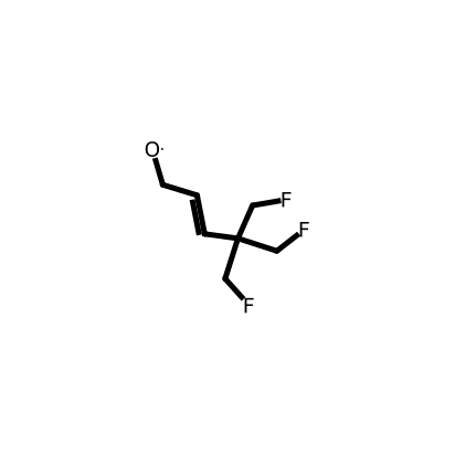 [O]C/C=C/C(CF)(CF)CF